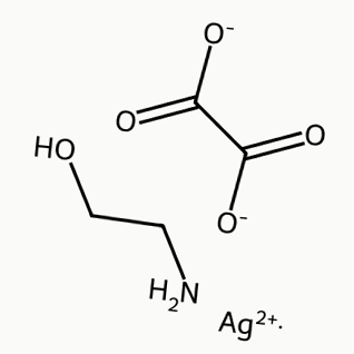 NCCO.O=C([O-])C(=O)[O-].[Ag+2]